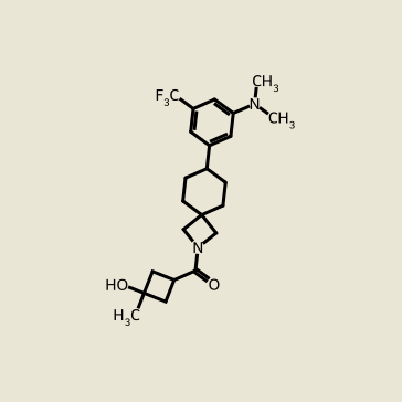 CN(C)c1cc(C2CCC3(CC2)CN(C(=O)C2CC(C)(O)C2)C3)cc(C(F)(F)F)c1